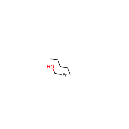 CC(C)CO.CCCCC